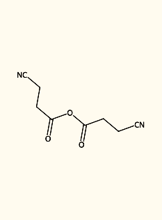 N#CCCC(=O)OC(=O)CCC#N